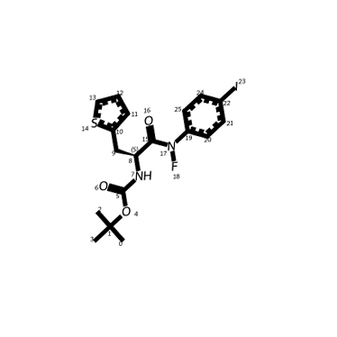 CC(C)(C)OC(=O)N[C@@H](Cc1cccs1)C(=O)N(F)c1ccc(I)cc1